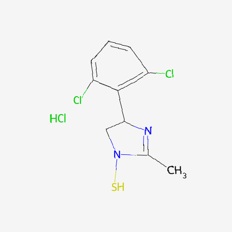 CC1=NC(c2c(Cl)cccc2Cl)CN1S.Cl